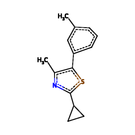 Cc1cccc(-c2sc(C3CC3)nc2C)c1